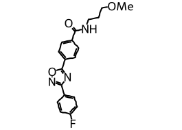 COCCCNC(=O)c1ccc(-c2nc(-c3ccc(F)cc3)no2)cc1